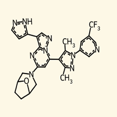 Cc1nn(-c2cncc(C(F)(F)F)c2)c(C)c1-c1cc(N2CC3CCC(C2)O3)nc2c(-c3ccn[nH]3)cnn12